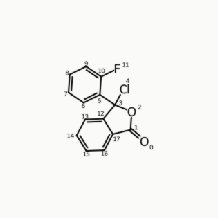 O=C1OC(Cl)(c2ccccc2F)c2ccccc21